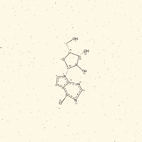 OC[C@H]1O[C@@H](n2ccc3c(Cl)ncnc32)C(O)[C@H]1O